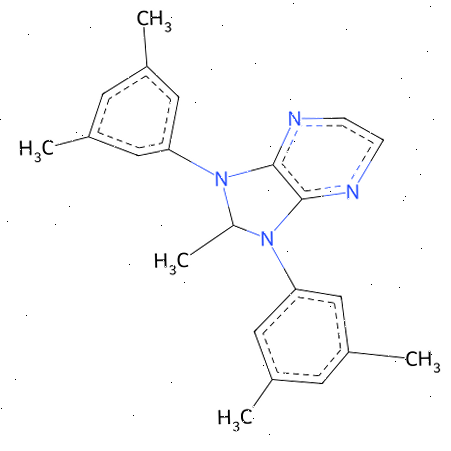 Cc1cc(C)cc(N2c3nccnc3N(c3cc(C)cc(C)c3)C2C)c1